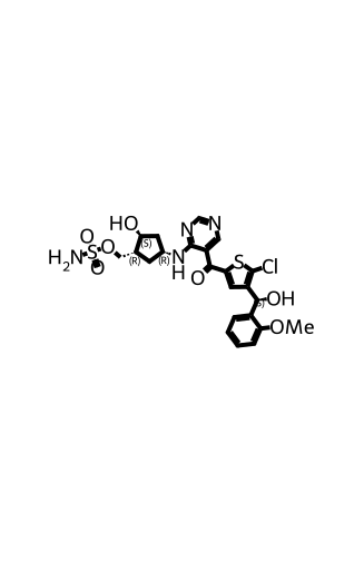 COc1ccccc1[C@H](O)c1cc(C(=O)c2cncnc2N[C@@H]2C[C@H](COS(N)(=O)=O)[C@@H](O)C2)sc1Cl